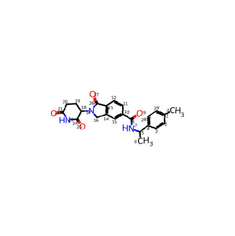 Cc1ccc(C(C)NC(=O)c2ccc3c(c2)CN(C2CCC(=O)NC2=O)C3=O)cc1